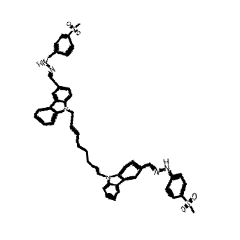 CS(=O)(=O)c1ccc(N/N=C/c2ccc3c(c2)c2ccccc2n3CCCCCCCCn2c3ccccc3c3cc(/C=N/Nc4ccc(S(C)(=O)=O)cc4)ccc32)cc1